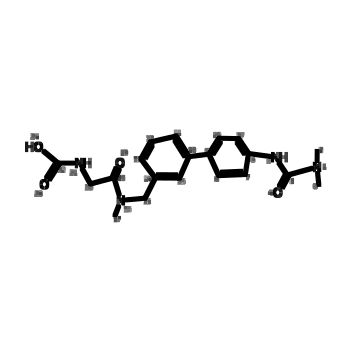 CN(C)C(=O)Nc1ccc(-c2cccc(CN(C)C(=O)CNC(=O)O)c2)cc1